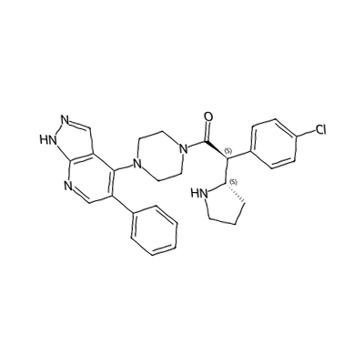 O=C([C@@H](c1ccc(Cl)cc1)[C@@H]1CCCN1)N1CCN(c2c(-c3ccccc3)cnc3[nH]ncc23)CC1